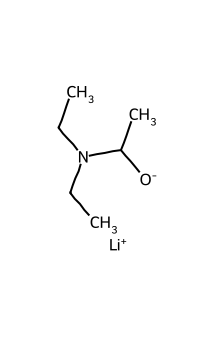 CCN(CC)C(C)[O-].[Li+]